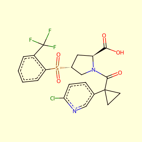 O=C(O)[C@@H]1C[C@@H](S(=O)(=O)c2ccccc2C(F)(F)F)CN1C(=O)C1(c2ccc(Cl)nc2)CC1